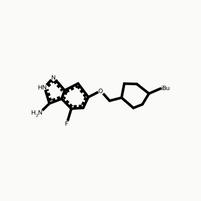 CCC(C)C1CCC(COc2cc(F)c3c(N)[nH]nc3c2)CC1